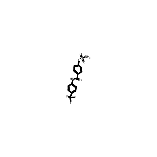 NS(=O)(=O)Oc1ccc(C(=O)Nc2ccc(C(F)(F)F)cc2)cc1